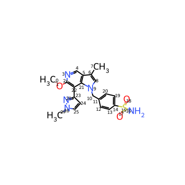 COc1ncc2c(C)cn(Cc3ccc(S(N)(=O)=O)cc3)c2c1-c1ccn(C)n1